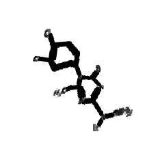 CCN(N)c1nc(C)n(-c2ccc(Cl)c(Cl)c2)c(=O)n1